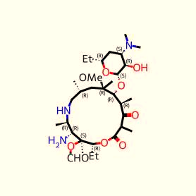 CC[C@@H]1C[C@H](N(C)C)[C@@H](O)[C@H](O[C@@H]2[C@@H](C)C(=O)C(C)C(=O)O[C@H](CC)[C@@](C)(OC=O)[C@H](N)[C@@H](C)NC[C@H](C)C[C@@]2(C)OC)O1